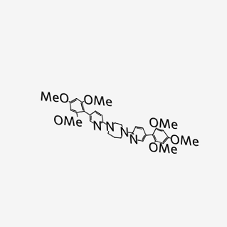 COc1cc(OC)c(-c2ccc(N3CCCN(c4ccc(-c5c(OC)cc(OC)cc5OC)cn4)CC3)nc2)c(OC)c1